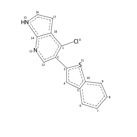 Clc1c(-c2cc3ccccc3s2)cnc2[nH]ccc12